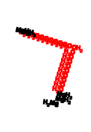 O.O.O.O.O.O.O.O.O.O.O.O.O.O.O.O.O.O.O.O.[MgH2].[MgH2].[MgH2].[MgH2].[MgH2]